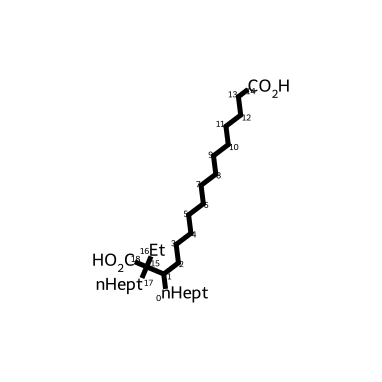 CCCCCCCC(CCCCCCCCCCCCC(=O)O)C(CC)(CCCCCCC)C(=O)O